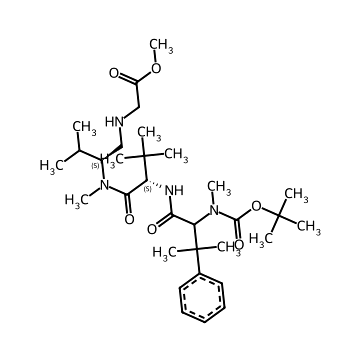 COC(=O)CNC[C@H](C(C)C)N(C)C(=O)[C@@H](NC(=O)C(N(C)C(=O)OC(C)(C)C)C(C)(C)c1ccccc1)C(C)(C)C